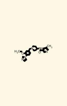 CCOc1cc(CN2CCC(NC(=O)c3cncc(C)c3)CC2)ccc1-n1ccnc1